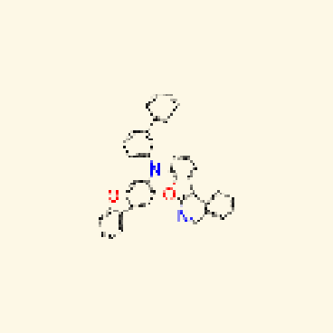 c1ccc(-c2cccc(N(c3ccc4c(c3)oc3ccccc34)c3cccc4c3oc3ncc5ccccc5c34)c2)cc1